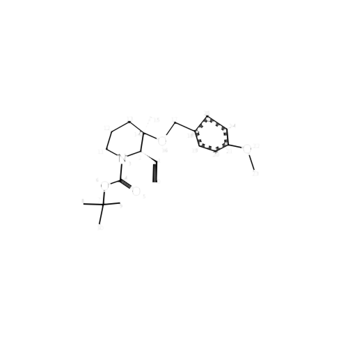 C=C[C@H]1N(C(=O)OC(C)(C)C)CCC[C@@]1(C)OCc1ccc(OC)cc1